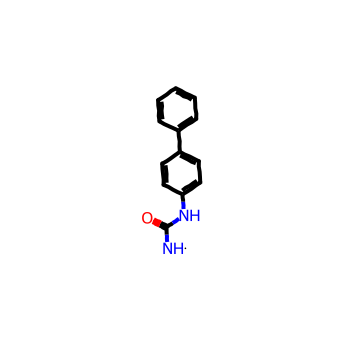 [NH]C(=O)Nc1ccc(-c2ccccc2)cc1